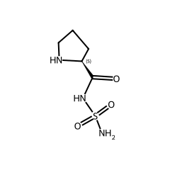 NS(=O)(=O)NC(=O)[C@@H]1CCCN1